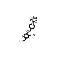 CC(C)(C)OC(=O)N1CCC(COc2cnc(CCl)cc2C#N)CC1